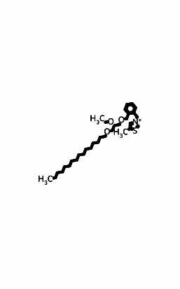 CCCCCCCCCCCCCCCCOCC(COCc1ccccc1C[n+]1csc(C)c1)OCC